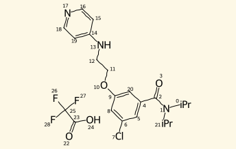 CC(C)N(C(=O)c1cc(Cl)cc(OCCNc2ccncc2)c1)C(C)C.O=C(O)C(F)(F)F